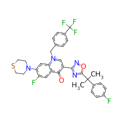 CC(C)(c1ccc(F)cc1)c1nc(-c2cn(Cc3ccc(C(F)(F)F)cc3)c3cc(N4CCSCC4)c(F)cc3c2=O)no1